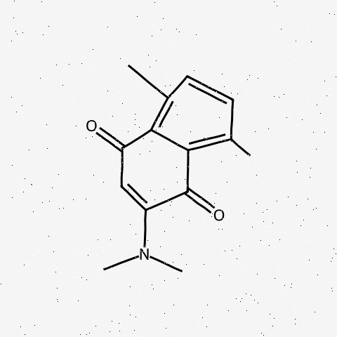 Cc1ccc(C)c2c1C(=O)C=C(N(C)C)C2=O